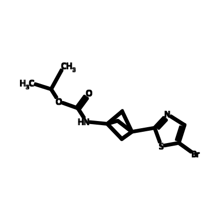 CC(C)OC(=O)NC12CC(c3ncc(Br)s3)(C1)C2